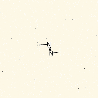 [C]N=N[C]